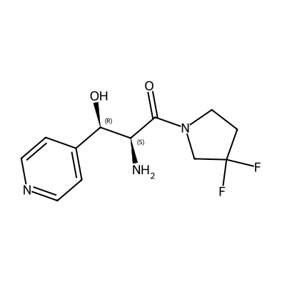 N[C@H](C(=O)N1CCC(F)(F)C1)[C@H](O)c1ccncc1